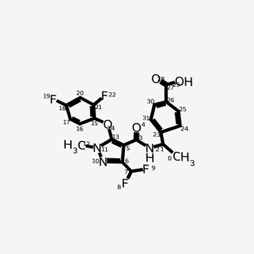 CC(NC(=O)c1c(C(F)F)nn(C)c1Oc1ccc(F)cc1F)c1ccc(C(=O)O)cc1